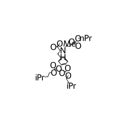 CCCOC(=O)OCCN[C@@H](Cc1ccc(OC(=O)OCCC(C)C)c(OC(=O)OCCC(C)C)c1)C(=O)OC